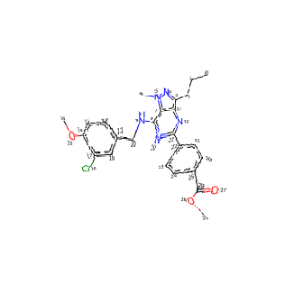 CCCc1nn(C)c2c(NCc3ccc(OC)c(Cl)c3)nc(-c3ccc(C(=O)OC)cc3)nc12